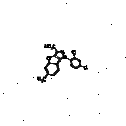 CC1=CC2Oc3c(C(=O)O)nn(-c4ccc(Cl)cc4Cl)c3C2C=C1